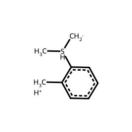 [CH2][SH](C)c1ccccc1C.[H+]